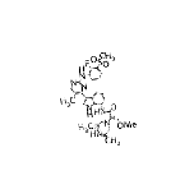 COC[C@@H](C(=O)Nc1cccc2c(-c3nc(Nc4cccc(S(C)(=O)=O)c4F)ncc3C)c[nH]c12)N1C[C@@H](C)N[C@H](C)C1